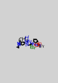 Cc1nn(C2CC2)c2ccc(Nc3ncc(Br)c(Nc4ccccc4S(=O)(=O)C(C)C)n3)cc12